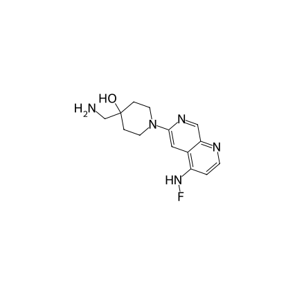 NCC1(O)CCN(c2cc3c(NF)ccnc3cn2)CC1